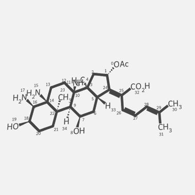 CC(=O)O[C@H]1C[C@@]2(C)[C@@H](C[C@@H](O)[C@@H]3[C@]2(N)CC[C@@]2(N)[C@H](N)[C@H](O)CC[C@]32C)/C1=C(\C=C/C=C(C)C)C(=O)O